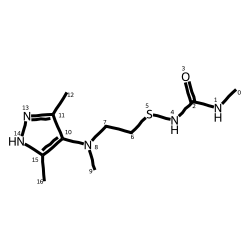 CNC(=O)NSCCN(C)c1c(C)n[nH]c1C